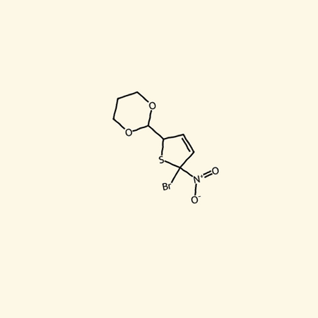 O=[N+]([O-])C1(Br)C=CC(C2OCCCO2)S1